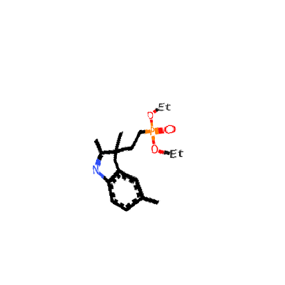 CCOP(=O)(CCC1(C)C(C)=Nc2ccc(C)cc21)OCC